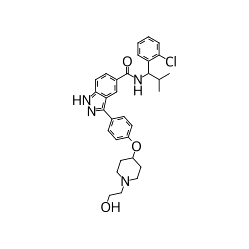 CC(C)C(NC(=O)c1ccc2[nH]nc(-c3ccc(OC4CCN(CCO)CC4)cc3)c2c1)c1ccccc1Cl